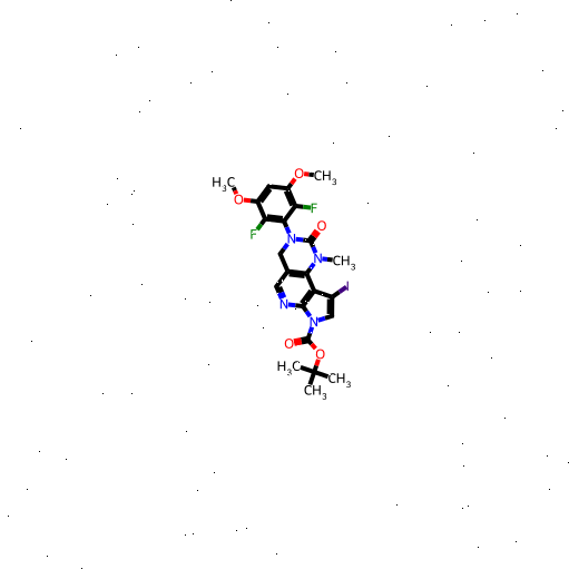 COc1cc(OC)c(F)c(N2Cc3cnc4c(c(I)cn4C(=O)OC(C)(C)C)c3N(C)C2=O)c1F